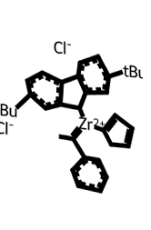 C/[C](c1ccccc1)=[Zr+2](/[C]1=CC=CC1)[CH]1c2cc(C(C)(C)C)ccc2-c2ccc(C(C)(C)C)cc21.[Cl-].[Cl-]